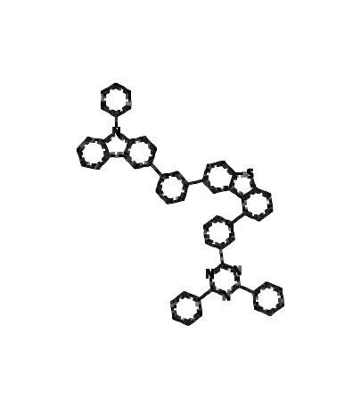 c1ccc(-c2nc(-c3ccccc3)nc(-c3cccc(-c4cccc5sc6ccc(-c7cccc(-c8ccc9c(c8)c8ccccc8n9-c8ccccc8)c7)cc6c45)c3)n2)cc1